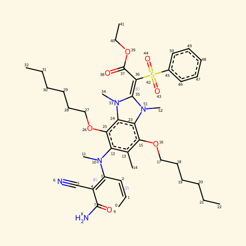 C/C=C\C(=C(\C#N)C(N)=O)N(C)c1c(C)c(OCCCCCC)c2c(c1OCCCCCC)N(C)/C(=C(\C(=O)OCC)S(=O)(=O)c1ccccc1)N2C